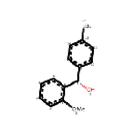 COc1ccccc1[C@@H](O)c1ccc(C(C)(C)C)cc1